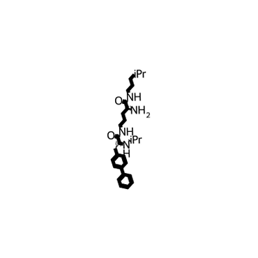 CC(C)CCCNC(=O)[C@@H](N)CCCNC(=O)[C@@H](Cc1ccc(-c2ccccc2)cc1)NC(C)C